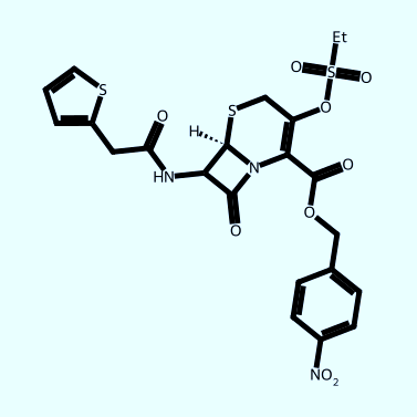 CCS(=O)(=O)OC1=C(C(=O)OCc2ccc([N+](=O)[O-])cc2)N2C(=O)C(NC(=O)Cc3cccs3)[C@H]2SC1